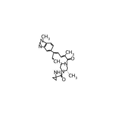 C=C/C(=C\C=C(/C)C(=O)N1CCN(C(=O)C2(N)CC2)[C@@H](C)C1)c1ccc2c(c1)ncn2C